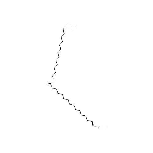 CCCCCCCCC=CCCCCCCCCCCCCCC(=O)OCCCCCCCCCCCCCC(=O)O